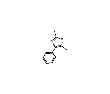 Cc1nc(-c2ccccc2)c(C)s1